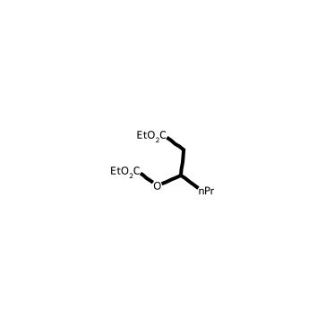 CCCC(CC(=O)OCC)OC(=O)OCC